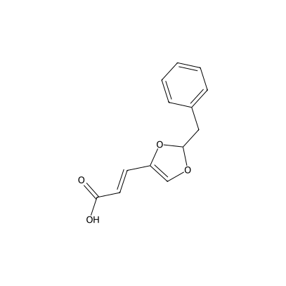 O=C(O)/C=C/C1=COC(Cc2ccccc2)O1